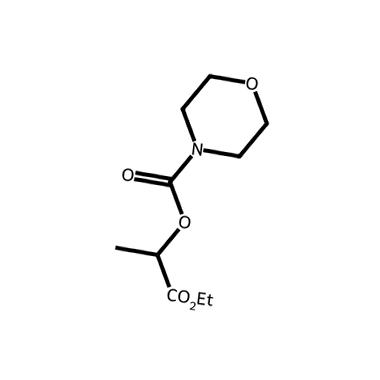 CCOC(=O)C(C)OC(=O)N1CCOCC1